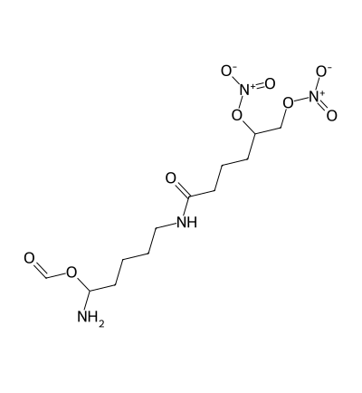 NC(CCCCNC(=O)CCCC(CO[N+](=O)[O-])O[N+](=O)[O-])OC=O